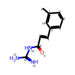 Cc1cccc(C=CC(=O)NC(=N)N)c1